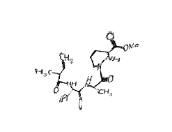 C=CC(C)C(=O)N[C@H](C(=O)N[C@@H](C)C(=O)N1CCC[C@@H](C(=O)OC)N1)C(C)C